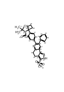 CC(C)(C)N(C(=O)O)C1(c2ccc(-c3nc4c(cc3-c3ccccc3)-c3n[nH]c(S(C)(=O)=O)c3CC4)cc2)CCC1